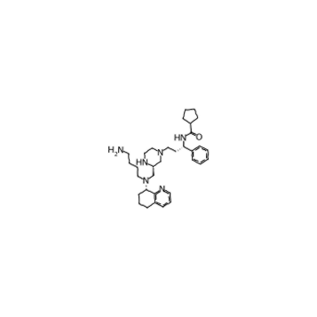 NCCCCN(C[C@@H]1CN(CC[C@H](NC(=O)C2CCCC2)c2ccccc2)CCN1)[C@H]1CCCc2cccnc21